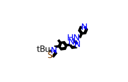 Cc1cc(-c2ccnc(NCc3ccncc3)n2)ccc1CN1C=CSC1C(C)(C)C